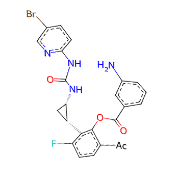 CC(=O)c1ccc(F)c([C@@H]2C[C@@H]2NC(=O)Nc2ccc(Br)cn2)c1OC(=O)c1cccc(N)c1